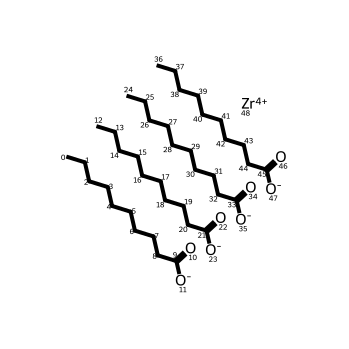 CCCCCCCCCC(=O)[O-].CCCCCCCCCC(=O)[O-].CCCCCCCCCC(=O)[O-].CCCCCCCCCC(=O)[O-].[Zr+4]